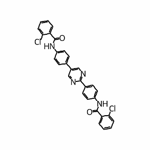 O=C(Nc1ccc(-c2cnc(-c3ccc(NC(=O)c4ccccc4Cl)cc3)nc2)cc1)c1ccccc1Cl